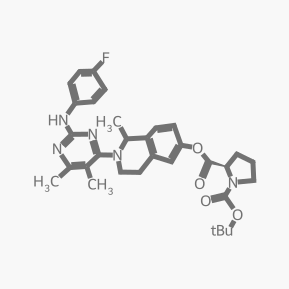 Cc1nc(Nc2ccc(F)cc2)nc(N2CCc3cc(OC(=O)[C@H]4CCCN4C(=O)OC(C)(C)C)ccc3C2C)c1C